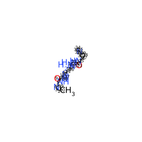 Cc1ccnc(CNC(=O)c2cn(CCCCN(N)/C=C(\N)C(=O)NCc3cccc(N4CCCC4)c3)nn2)c1